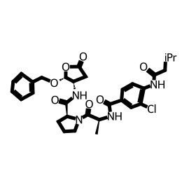 CC(C)CC(=O)Nc1ccc(C(=O)N[C@@H](C)C(=O)N2CCC[C@H]2C(=O)N[C@H]2CC(=O)O[C@H]2OCc2ccccc2)cc1Cl